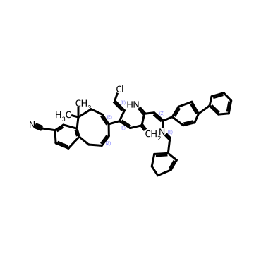 C=C(/C=C(\C=C\Cl)C1=C/CC(C)(C)c2cc(C#N)ccc2C/C=C\1)C(=N)/C=C(\N=C\C1=CCCC=C1)c1ccc(-c2ccccc2)cc1